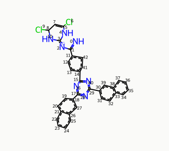 N=C(/N=C1\NC(Cl)=CC(Cl)N1)c1ccc(-c2nc(-c3ccc4ccccc4c3)nc(-c3ccc4ccccc4c3)n2)cc1